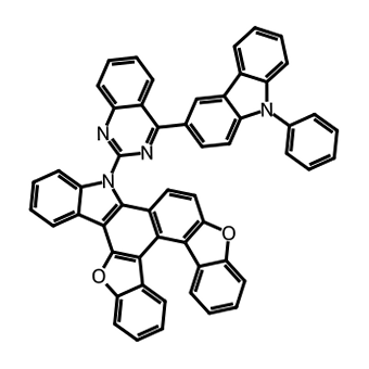 c1ccc(-n2c3ccccc3c3cc(-c4nc(-n5c6ccccc6c6c7oc8ccccc8c7c7c(ccc8oc9ccccc9c87)c65)nc5ccccc45)ccc32)cc1